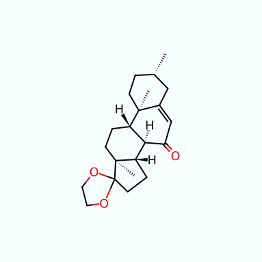 C[C@H]1CC[C@@]2(C)C(=CC(=O)[C@@H]3[C@@H]2CC[C@@]2(C)[C@H]3CCC23OCCO3)C1